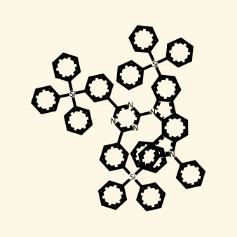 c1ccc(-n2c3ccccc3c3c2ccc2c4ccc([Si](c5ccccc5)(c5ccccc5)c5ccccc5)cc4n(-c4nc(-c5cccc([Si](c6ccccc6)(c6ccccc6)c6ccccc6)c5)nc(-c5cccc([Si](c6ccccc6)(c6ccccc6)c6ccccc6)c5)n4)c23)cc1